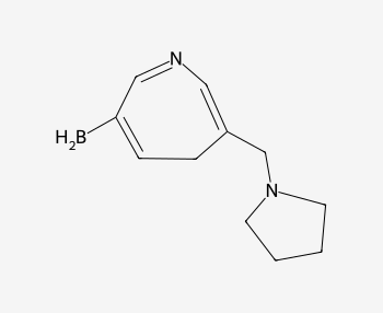 BC1=CCC(CN2CCCC2)=CN=C1